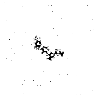 Cc1c(Nc2ccc(S(C)(=O)=O)cc2F)ncnc1OC1CN(C(=O)OC2(C)CC2)CC12CC2